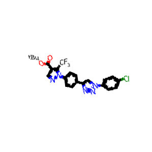 CC(C)(C)OC(=O)c1cnn(-c2ccc(-c3cn(-c4ccc(Cl)cc4)nn3)cc2)c1C(F)(F)F